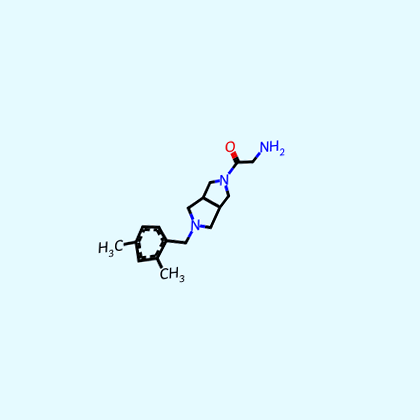 Cc1ccc(CN2CC3CN(C(=O)CN)CC3C2)c(C)c1